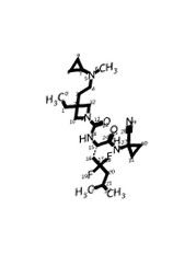 CCC1(CCN(C)C2CC2)CN(C(=O)N[C@@H](CC(F)(F)CC(C)C)C(=O)NC2(C#N)CC2)C1